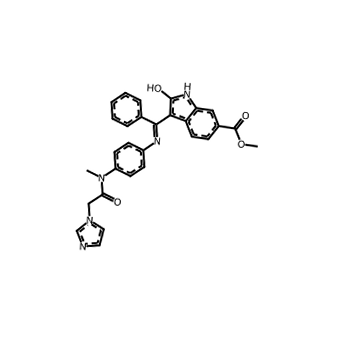 COC(=O)c1ccc2c(C(=Nc3ccc(N(C)C(=O)Cn4ccnc4)cc3)c3ccccc3)c(O)[nH]c2c1